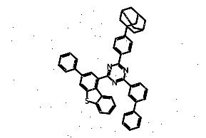 c1ccc(-c2cccc(-c3nc(-c4ccc(C56CC7CC(CC(C7)C5)C6)cc4)nc(-c4cc(-c5ccccc5)cc5sc6ccccc6c45)n3)c2)cc1